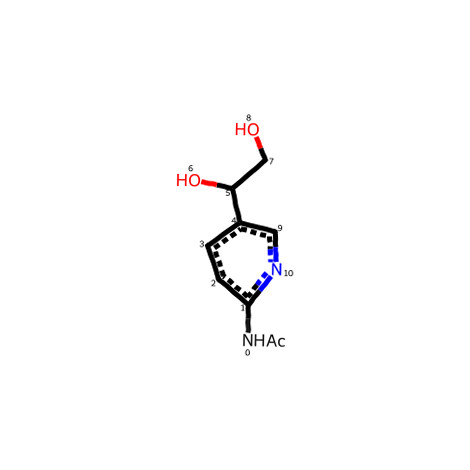 CC(=O)Nc1ccc(C(O)CO)cn1